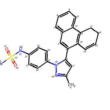 Cc1cc(-c2cc3ccccc3c3c2C=CCC3)n(-c2ccc(NS(N)(=O)=O)cc2)n1